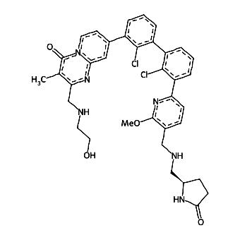 COc1nc(-c2cccc(-c3cccc(-c4ccn5c(=O)c(C)c(CNCCO)nc5c4)c3Cl)c2Cl)ccc1CNC[C@H]1CCC(=O)N1